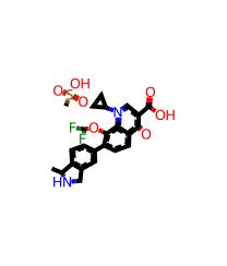 CC1NCc2cc(-c3ccc4c(=O)c(C(=O)O)cn(C5CC5)c4c3OC(F)F)ccc21.CS(=O)(=O)O